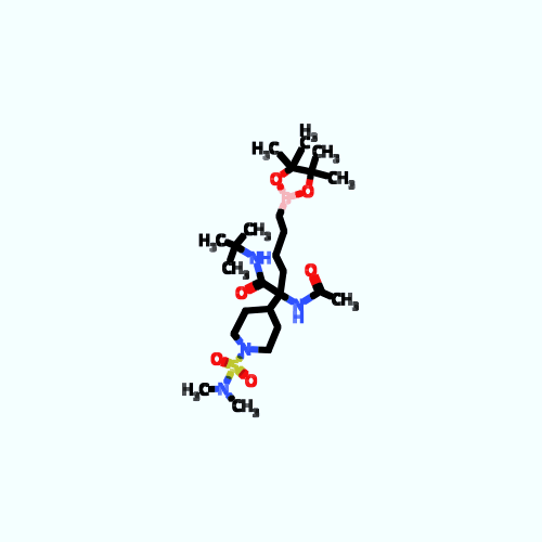 CC(=O)NC(CCCCB1OC(C)(C)C(C)(C)O1)(C(=O)NC(C)(C)C)C1CCN(S(=O)(=O)N(C)C)CC1